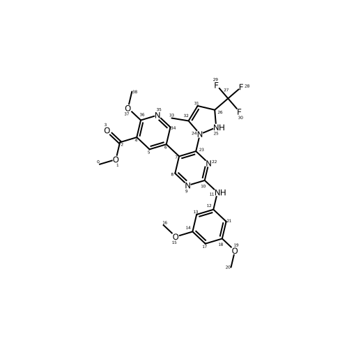 COC(=O)c1cc(-c2cnc(Nc3cc(OC)cc(OC)c3)nc2N2NC(C(F)(F)F)C=C2C)cnc1OC